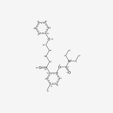 CCN(CC)C(=O)Oc1ccc(C)cc1C(=O)CCCCOc1ccccc1